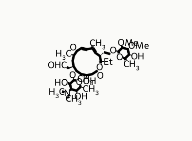 CC[C@H]1OC(=O)C[C@@H](O)[C@H](C)[C@@H](O[C@@H]2O[C@H](C)[C@@H](O)C(N(C)C)C2O)[C@@H](CC=O)C[C@@H](C)C(=O)/C=C/C(C)=C/[C@@H]1CCO[C@@H]1OC(C)[C@@H](O)[C@H](OC)C1OC